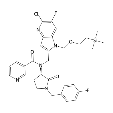 C[Si](C)(C)CCOCn1c(CN(C(=O)c2cccnc2)[C@@H]2CCN(Cc3ccc(F)cc3)C2=O)cc2nc(Cl)c(F)cc21